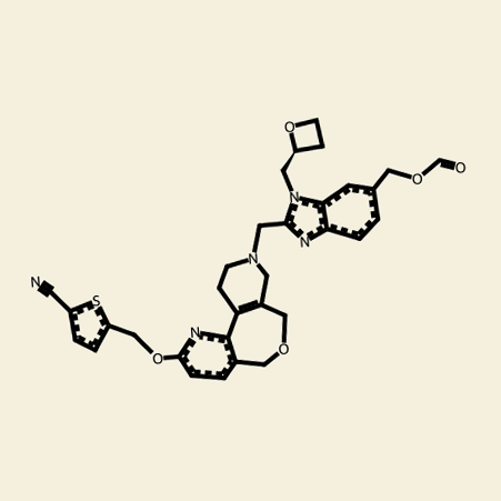 N#Cc1ccc(COc2ccc3c(n2)C2=C(COC3)CN(Cc3nc4ccc(COC=O)cc4n3C[C@@H]3CCO3)CC2)s1